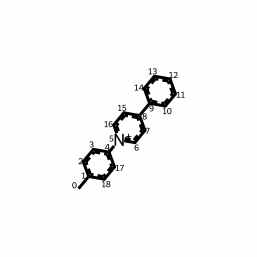 Cc1ccc(-[n+]2ccc(-c3ccccc3)cc2)cc1